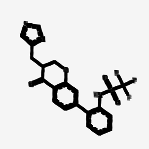 O=C1c2ccc(-c3ccccc3NS(=O)(=O)C(F)(F)F)cc2OCC1Cc1cscn1